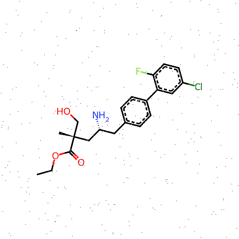 CCOC(=O)[C@](C)(CO)C[C@H](N)Cc1ccc(-c2cc(Cl)ccc2F)cc1